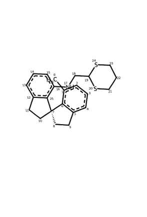 Cc1cccc2c1[C@@]1(CC2)CCc2cccc(NCC3SCCCS3)c21